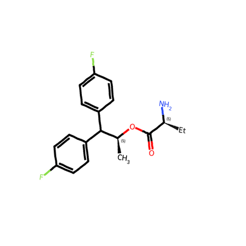 CC[C@H](N)C(=O)O[C@@H](C)C(c1ccc(F)cc1)c1ccc(F)cc1